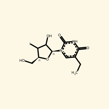 CCc1cn([C@H]2O[C@@H](CO)C(I)C2O)c(=O)[nH]c1=O